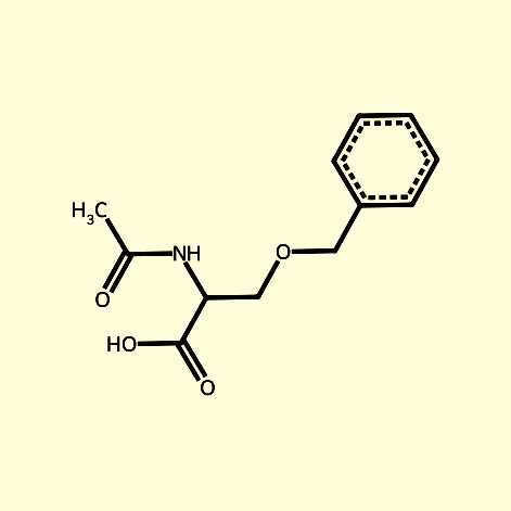 CC(=O)NC(COCc1ccccc1)C(=O)O